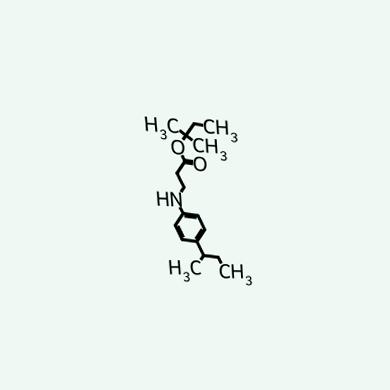 CCC(C)c1ccc(NCCC(=O)OC(C)(C)CC)cc1